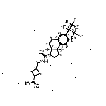 O=C(O)C1CC(CNC(=O)[C@@H]2CC[C@H]3c4ccc(C(F)(C(F)(F)F)C(F)(F)F)cc4CC[C@@H]23)C1